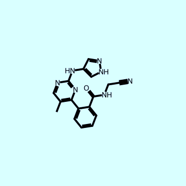 Cc1cnc(Nc2cn[nH]c2)nc1-c1ccccc1C(=O)NCC#N